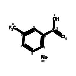 O=S(O)c1cccc(C(F)(F)F)c1.[Na]